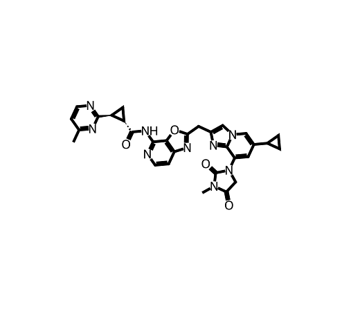 Cc1ccnc([C@H]2C[C@@H]2C(=O)Nc2nccc3nc(Cc4cn5cc(C6CC6)cc(N6CC(=O)N(C)C6=O)c5n4)oc23)n1